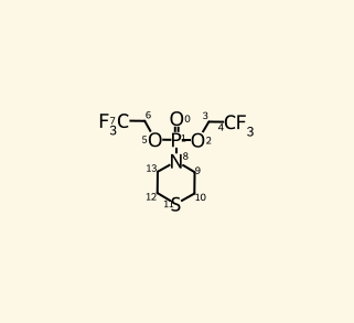 O=P(OCC(F)(F)F)(OCC(F)(F)F)N1CCSCC1